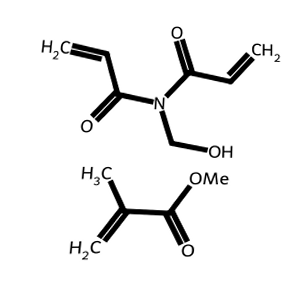 C=C(C)C(=O)OC.C=CC(=O)N(CO)C(=O)C=C